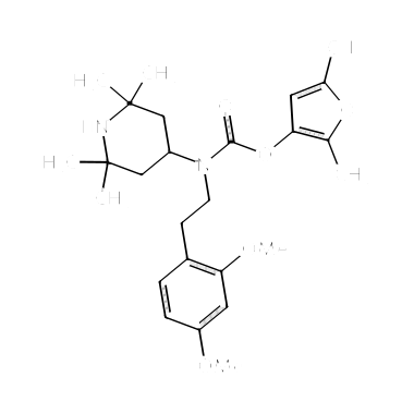 COc1ccc(CCN(C(=O)Oc2cc(C)oc2C)C2CC(C)(C)NC(C)(C)C2)c(OC)c1